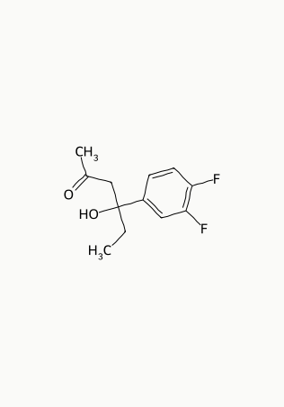 CCC(O)(CC(C)=O)c1ccc(F)c(F)c1